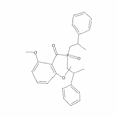 COc1cccc(OC)c1C(=O)P(=O)(CC(C)c1ccccc1)CC(C)c1ccccc1